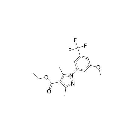 CCOC(=O)c1c(C)nn(-c2cc(OC)cc(C(F)(F)F)c2)c1C